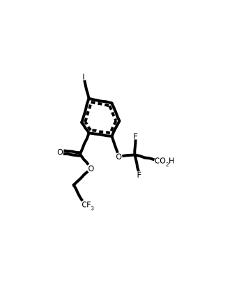 O=C(OCC(F)(F)F)c1cc(I)ccc1OC(F)(F)C(=O)O